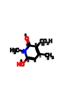 Cc1cc(O)n(C)c(=O)c1C(=O)O